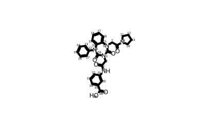 O=C(CN1C(=O)N(CC(=O)N2CCCC2)c2ccccc2N(c2ccccc2)C1=O)Nc1cccc(C(=O)O)c1